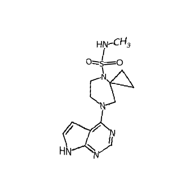 CNS(=O)(=O)N1CCN(c2ncnc3[nH]ccc23)CC12CC2